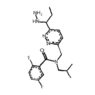 CCC(NN)c1ccc(CN(CC(C)C)C(=O)c2cc(F)ccc2F)nn1